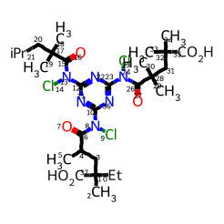 CCC(C)(CC(C)C(=O)N(Cl)c1nc(N(Cl)C(=O)C(C)(C)CC(C)C)nc(N(Cl)C(=O)C(C)(C)CC(C)(C)C(=O)O)n1)C(=O)O